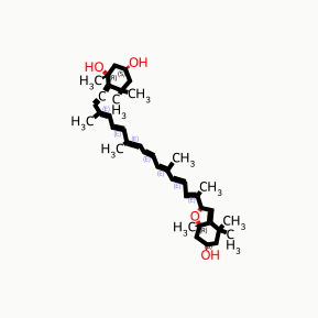 C\C(C=C=C1C(C)(C)C[C@H](O)C[C@@]1(C)O)=C/C=C/C(C)=C/C=C/C=C(C)/C=C/C=C(\C)C1C=C2C(C)(C)C[C@H](O)C[C@@]2(C)O1